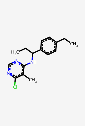 CCc1ccc(C(CC)Nc2ncnc(Cl)c2C)cc1